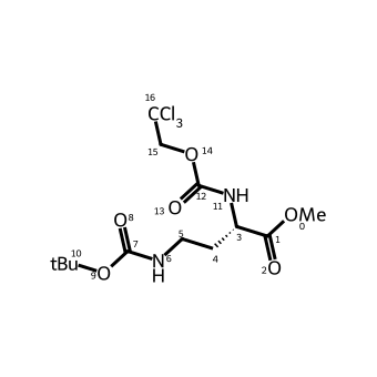 COC(=O)[C@H](CCNC(=O)OC(C)(C)C)NC(=O)OCC(Cl)(Cl)Cl